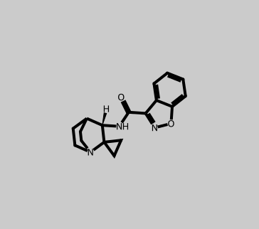 O=C(N[C@H]1C2CCN(CC2)C12CC2)c1noc2ccccc12